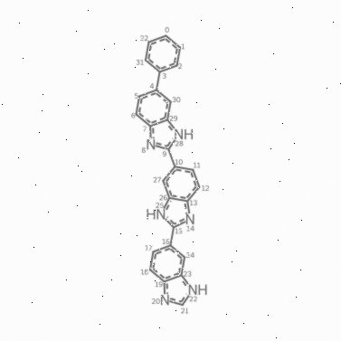 c1ccc(-c2ccc3nc(-c4ccc5nc(-c6ccc7nc[nH]c7c6)[nH]c5c4)[nH]c3c2)cc1